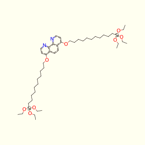 CCO[Si](CCCCCCCCCCCOc1ccnc2c1ccc1c(OCCCCCCCCCCC[Si](OCC)(OCC)OCC)ccnc12)(OCC)OCC